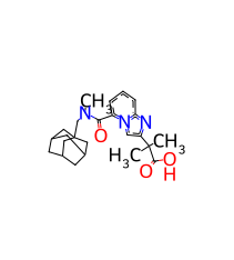 CN(CC12CC3CC(CC(C3)C1)C2)C(=O)c1cccc2nc(C(C)(C)C(=O)O)cn12